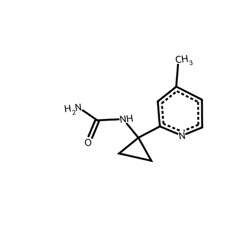 Cc1ccnc(C2(NC(N)=O)CC2)c1